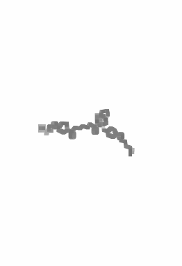 COc1ccc(C(=O)CCCCCC(=O)N[C@@H](Cc2ccc(OCCCCF)cc2)CN2CCCC2)cc1